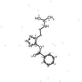 CB(O)NCCn1nnnc1OC(=O)c1ccccc1